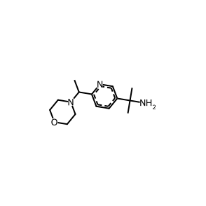 CC(c1ccc(C(C)(C)N)cn1)N1CCOCC1